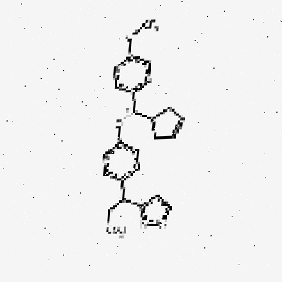 O=C(O)CC(c1ccc(O[C@H](c2ccc(OC(F)(F)F)cc2)C2CC=CC2)cc1)c1ccon1